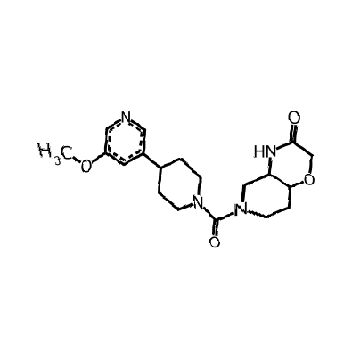 COc1cncc(C2CCN(C(=O)N3CCC4OCC(=O)NC4C3)CC2)c1